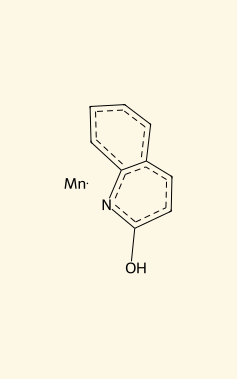 Oc1ccc2ccccc2n1.[Mn]